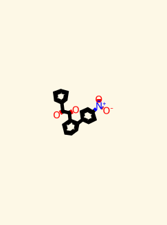 O=C(C(=O)c1ccccc1-c1ccc([N+](=O)[O-])cc1)c1ccccc1